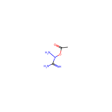 CC(=O)ON(N)C(=N)N